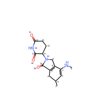 CNC1=CC(C)CC2=C1CN(C1CCC(=O)NC1=O)C2=O